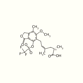 COc1c(C)c2c(c(OS(=O)(=O)C(F)(F)F)c1CC=C(C)C[C@H](C)C(=O)O)C(=O)OC2